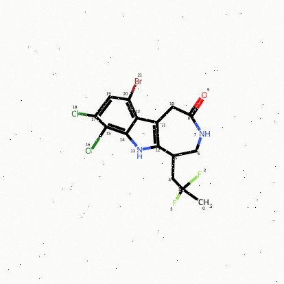 CC(F)(F)CC1CNC(=O)Cc2c1[nH]c1c(Cl)c(Cl)cc(Br)c21